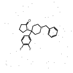 O=C1CCCN1C1(c2ccc(F)c(F)c2)CCN(Cc2ccccc2)CC1